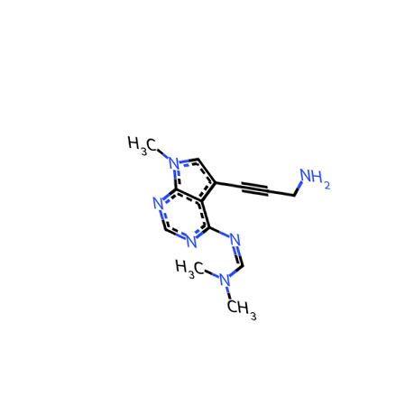 CN(C)/C=N\c1ncnc2c1c(C#CCN)cn2C